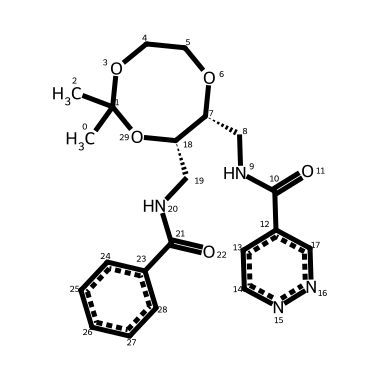 CC1(C)OCCO[C@H](CNC(=O)c2ccnnc2)[C@H](CNC(=O)c2ccccc2)O1